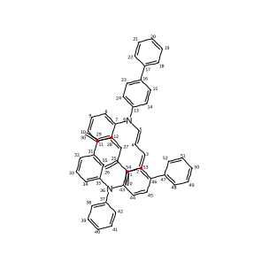 C=C(/C=C\C=C\N(c1ccccc1)c1ccc(-c2ccccc2)cc1)C(=C)/C=C\C(=C)c1cccc(N(c2ccccc2)c2ccc(-c3ccccc3)cc2)c1